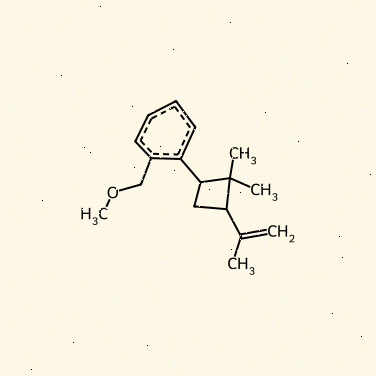 C=C(C)C1CC(c2ccccc2COC)C1(C)C